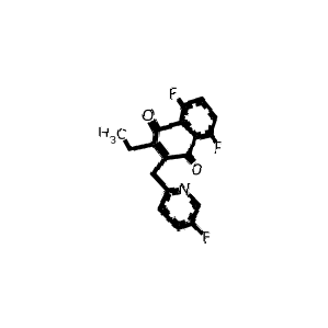 CCC1=C(Cc2ccc(F)cn2)C(=O)c2c(F)ccc(F)c2C1=O